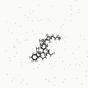 C=C(CC)N1CCc2c([nH]c3ccccc23)[C@H]1c1cnc(NC2CN(CCCF)C2)nc1